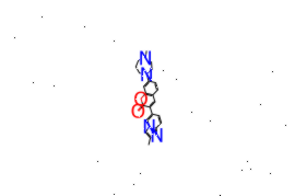 Cc1cn2cc(-c3cc4ccc(N5CCCN(C)CC5)cc4oc3=O)ccc2n1